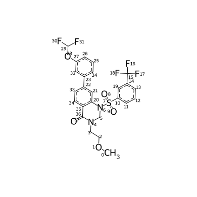 COCCN1CN(S(=O)(=O)c2cccc(C(F)(F)F)c2)c2cc(-c3cccc(OC(F)F)c3)ccc2C1=O